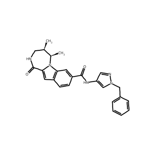 C[C@@H]1CNC(=O)c2cc3ccc(C(=O)Nc4cnn(Cc5ccccc5)c4)cc3n2[C@@H]1C